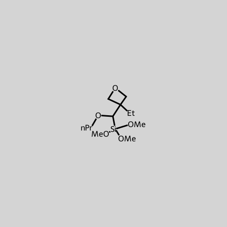 CCCOC(C1(CC)COC1)[Si](OC)(OC)OC